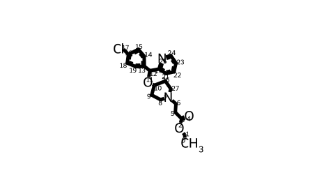 CCOC(=O)CCN1CCC(OC(c2ccc(Cl)cc2)c2ccccn2)CC1